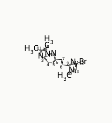 Cc1nc2ccc(C=Cc3nc(Br)cn3C)nn2c1C